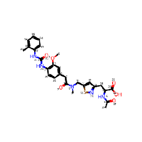 COc1cc(CC(=O)N(C)Cc2cc(CC(NC(C)=O)C(=O)O)ns2)ccc1NC(=O)Nc1ccccc1C